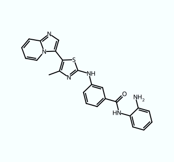 Cc1nc(Nc2cccc(C(=O)Nc3ccccc3N)c2)sc1-c1cnc2ccccn12